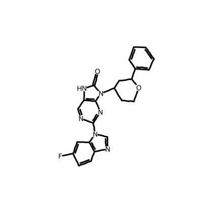 O=c1[nH]c2cnc(-n3cnc4ccc(F)cc43)nc2n1C1CCOC(c2ccccc2)C1